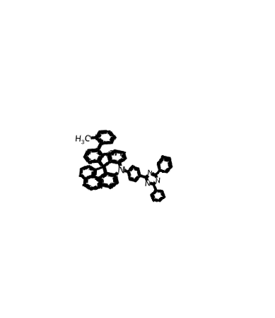 Cc1ccccc1-c1cccc(C2(c3cccc4ccccc34)c3ccccc3N(c3ccc(-c4nc(-c5ccccc5)nc(-c5ccccc5)n4)cc3)c3ccccc32)c1C